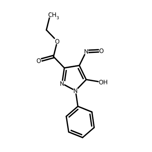 CCOC(=O)c1nn(-c2ccccc2)c(O)c1N=O